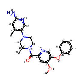 COc1cc(C(=O)N2CCN(c3cnc(N)cc3C)C[C@@H]2C)ncc1Oc1ccccc1